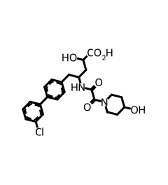 O=C(NC(Cc1ccc(-c2cccc(Cl)c2)cc1)CC(O)C(=O)O)C(=O)N1CCC(O)CC1